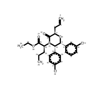 C=CC[C@H]1O[C@H](c2cccc(Cl)c2)[C@H](c2ccc(Cl)cc2)N([C@@H](CCC)C(=O)OCC)C1=O